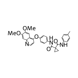 COc1cc2nccc(Oc3ccc(NC(=O)C4(C(=O)Nc5ccc(C)cc5)CC4)cc3)c2cc1OC